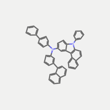 c1ccc(-c2ccc(N(c3cccc(-c4cccc5ccccc45)c3)c3ccc4c(c3)c3c5ccccc5ccc3n4-c3ccccc3)cc2)cc1